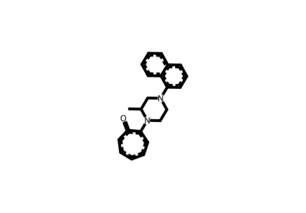 CC1CN(c2cccc3ccccc23)CCN1c1cccccc1=O